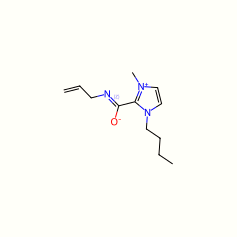 C=CC/N=C(\[O-])c1n(CCCC)cc[n+]1C